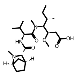 CC[C@H](C)[C@@H]([C@@H](CC(=O)O)OC)N(C)C(=O)[C@@H](NC(=O)[C@@H]1[C@H]2CC[C@H](C2)N1C)C(C)C